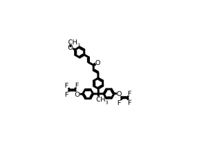 COc1ccc(C=CC(=O)C=Cc2ccc(C(C)(c3ccc(OC(F)=C(F)F)cc3)c3ccc(OC(F)=C(F)F)cc3)cc2)cc1